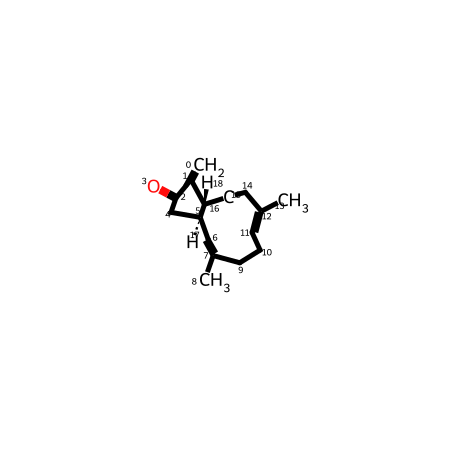 C=C1C(=O)C[C@@H]2/C=C(\C)CC/C=C(\C)CC[C@@H]12